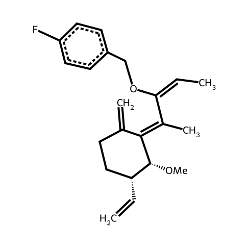 C=C[C@@H]1CCC(=C)/C(=C(C)\C(=C/C)OCc2ccc(F)cc2)[C@@H]1OC